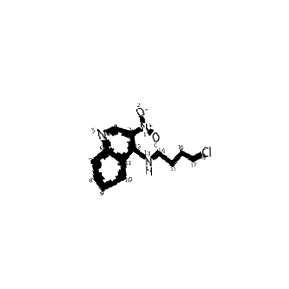 O=[N+]([O-])c1cnc2ccccc2c1NCCCCCl